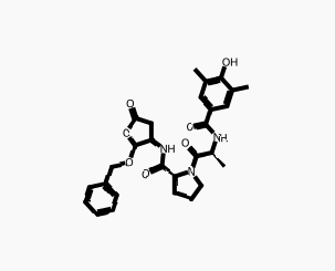 Cc1cc(C(=O)N[C@@H](C)C(=O)N2CCC[C@H]2C(=O)NC2CC(=O)OC2OCc2ccccc2)cc(C)c1O